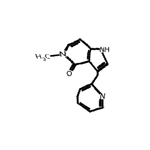 Cn1ccc2[nH]cc(-c3ccccn3)c2c1=O